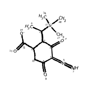 CC(C1C(=O)C(=[N+]=N)C(=O)CC1C(=O)[O-])[Si](C)(C)C